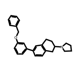 c1ccc(COc2cccc(-c3ccc4c(c3)CCC(N3CCCC3)C4)c2)cc1